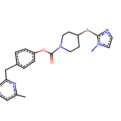 Cc1cccc(Cc2ccc(OC(=O)N3CCC(Sc4nccn4C)CC3)cc2)n1